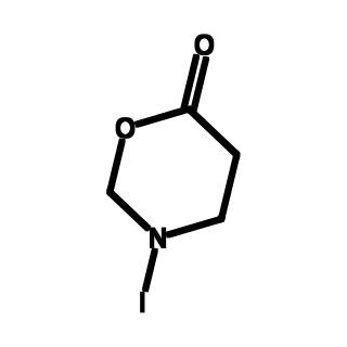 O=C1CCN(I)CO1